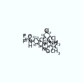 CC(C)c1[nH]n(-c2c(Cl)cc(Cl)cc2Cl)c2nc(Cc3cccc(NC(=O)C(F)F)c3)nc(=O)c1-2